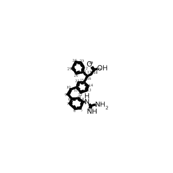 N=C(N)Nc1cccc(/C=C\c2cccc(C(CC(=O)O)c3ccccc3)c2)c1